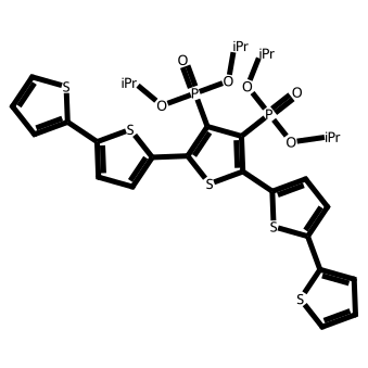 CC(C)OP(=O)(OC(C)C)c1c(-c2ccc(-c3cccs3)s2)sc(-c2ccc(-c3cccs3)s2)c1P(=O)(OC(C)C)OC(C)C